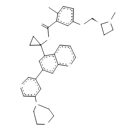 Cc1ccc(OC[C@@H]2CCN2C)cc1C(=O)NC1(c2cc(-c3cncc(N4CCOCC4)c3)cc3ncccc23)CC1